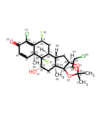 CC1(C)O[C@@H]2C[C@H]3[C@@H]4C[C@H](F)C5=C(Cl)C(=O)C=C[C@]5(C)[C@@]4(F)[C@@H](O)C[C@]3(C)[C@]2(C(=O)CCl)O1